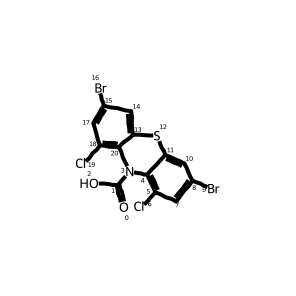 O=C(O)N1c2c(Cl)cc(Br)cc2Sc2cc(Br)cc(Cl)c21